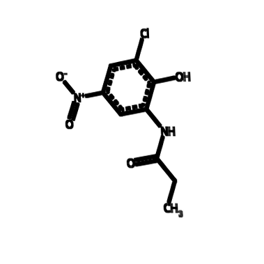 CCC(=O)Nc1cc([N+](=O)[O-])cc(Cl)c1O